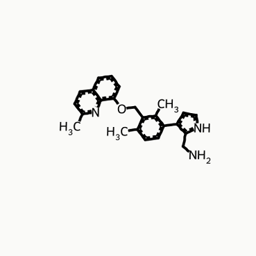 Cc1ccc2cccc(OCc3c(C)ccc(-c4cc[nH]c4CN)c3C)c2n1